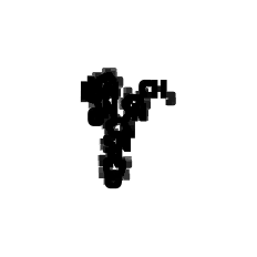 Cc1ccc(-c2nc3nc(N4CCOCC4)sc3cc2NC(=O)c2cnn3cccnc23)nc1